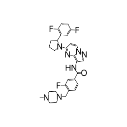 CN1CCN(Cc2ccc(C(=O)Nc3cnn4ccc(N5CCCC5c5cc(F)ccc5F)nc34)cc2F)CC1